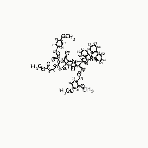 COC(=O)/C=C\SC1=C(C(=O)OCc2ccc(OC)cc2)N2C(=O)[C@@H](NC(=O)/C(=N\OCc3ccc(OC)cc3OC)c3csc(NC(c4ccccc4)(c4ccccc4)c4ccccc4)n3)[C@@H]2SC1